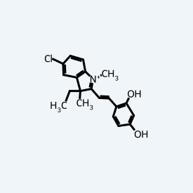 CCC1(C)C(/C=C/c2ccc(O)cc2O)=[N+](C)c2ccc(Cl)cc21